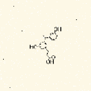 CC(c1cccc(O)c1)c1cc(O)cc(CCC(=O)O)c1